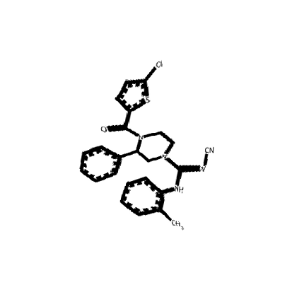 Cc1ccccc1N/C(=N/C#N)N1CCN(C(=O)c2ccc(Cl)s2)C(c2ccccc2)C1